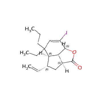 C=C[C@H]1C[C@@H]2C(=O)O[C@@H]3C(I)=CC(CC)(CCC)[C@H]1C23